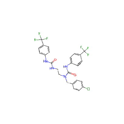 O=C(NCCN(Cc1ccc(Cl)cc1)C(=O)Nc1ccc(C(F)(F)F)cc1)Nc1ccc(C(F)(F)F)cc1